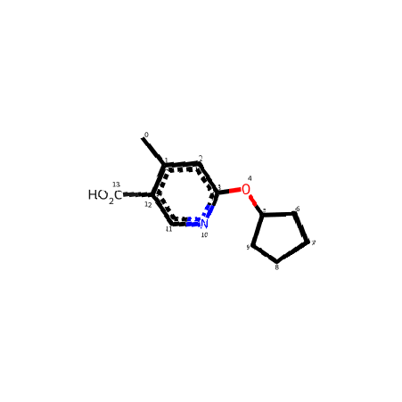 Cc1cc(OC2CCCC2)ncc1C(=O)O